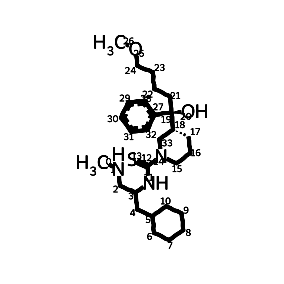 CNCC(CC1CCCCC1)NC(=S)N1CCC[C@@H]([C@@](O)(CCCCOC)c2ccccc2)C1